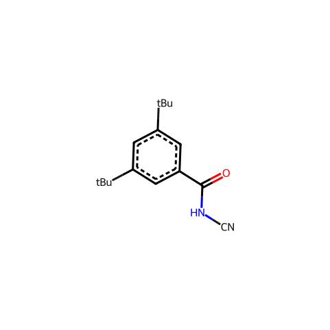 CC(C)(C)c1cc(C(=O)NC#N)cc(C(C)(C)C)c1